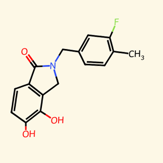 Cc1ccc(CN2Cc3c(ccc(O)c3O)C2=O)cc1F